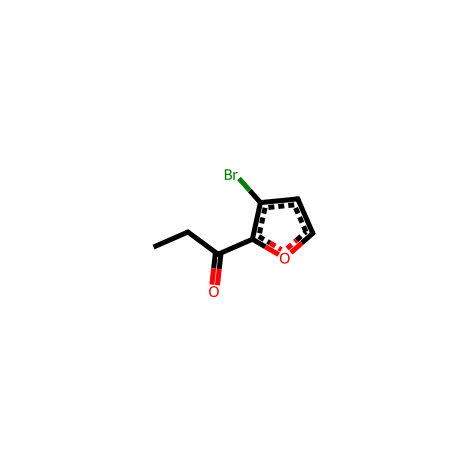 CCC(=O)c1occc1Br